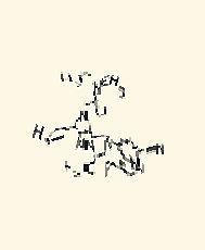 CC1CN(CC(=O)N(C)C)Cc2c1nn1c2CN(c2ccc(C#N)n3ncc(F)c23)C[C@H]1C